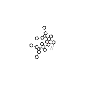 Sc1cc(-c2c3ccccc3c(-n3c4ccc(-c5ccccc5)cc4c4cc(-c5ccccc5)ccc43)c3ccccc23)ccc1-c1c(I)cccc1-c1c2ccccc2c(-n2c3ccc(-c4ccccc4)cc3c3cc(-c4ccccc4)ccc32)c2ccccc12